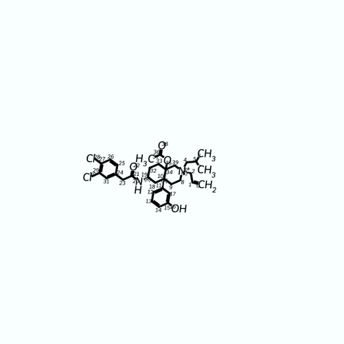 C=CC[N@@+]1(CC(C)C)CC[C@]2(c3cccc(O)c3)C[C@H](NC(=O)Cc3ccc(Cl)c(Cl)c3)CCC2(OC(C)=O)C1